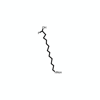 CCCCCCCCCCCCCCCCCCCCCC(O)F